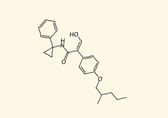 CCCC(C)COc1ccc(C(=CO)C(=O)NC2(c3ccccc3)CC2)cc1